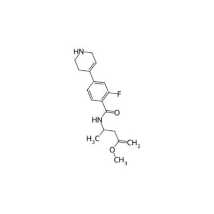 C=C(CC(C)NC(=O)c1ccc(C2=CCNCC2)cc1F)OC